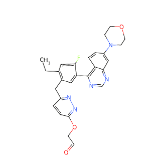 CCc1cc(F)c(-c2ncnc3cc(N4CCOCC4)ccc23)cc1Cc1ccc(OCC=O)nn1